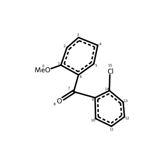 COc1ccccc1C(=O)c1ccccc1Cl